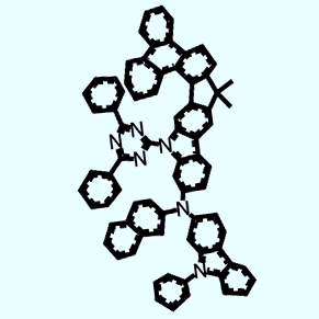 CC1(C)c2cc3c4ccc(N(c5ccc6ccccc6c5)c5ccc6c7ccccc7n(-c7ccccc7)c6c5)cc4n(-c4nc(-c5ccccc5)nc(-c5ccccc5)n4)c3cc2-c2c1ccc1c3ccccc3c3ccccc3c21